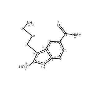 CNC(=O)c1ccc2[nH]c(C(=O)O)c(CCCN)c2c1